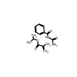 C=C(C)C(=O)OC(C)O.NC(=S)NC(=O)c1ccccc1